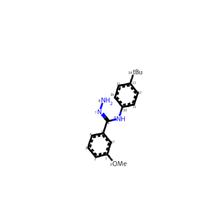 COc1cccc(/C(=N/N)Nc2ccc(C(C)(C)C)cc2)c1